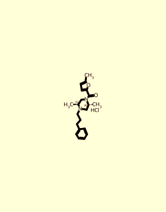 Cc1ccc(C(=O)N2C[C@H](C)N(CCCc3ccccc3)C[C@H]2C)o1.Cl